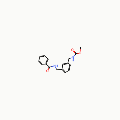 COC(=O)NCc1cccc(CNC(=O)c2ccccc2)c1